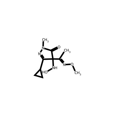 CO/N=C(\C)C1(NO)C(=O)N(C)N=C1C1CC1